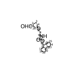 O=Cc1cccc(OCCCNC(=O)OCC2c3ccccc3-c3ccccc32)c1